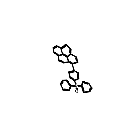 O=P(c1ccccc1)(c1ccccc1)c1ccc(-c2ccc3ccc4cccc5ccc2c3c45)cc1